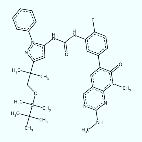 CNc1ncc2cc(-c3ccc(F)c(NC(=O)Nc4cc(C(C)(C)CO[Si](C)(C)C(C)(C)C)nn4-c4ccccc4)c3)c(=O)n(C)c2n1